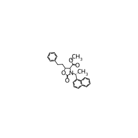 COC(=O)C1C(CCc2ccccc2)OC(=O)N1[C@H](C)c1cccc2ccccc12